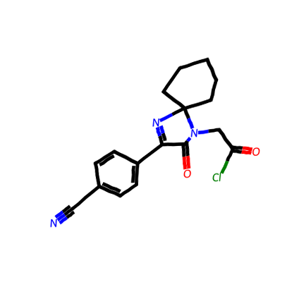 N#Cc1ccc(C2=NC3(CCCCC3)N(CC(=O)Cl)C2=O)cc1